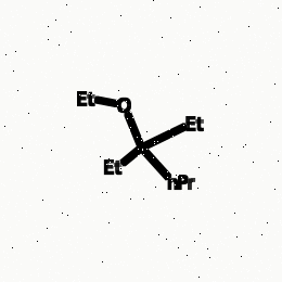 [CH2]COC(CC)(CC)CCC